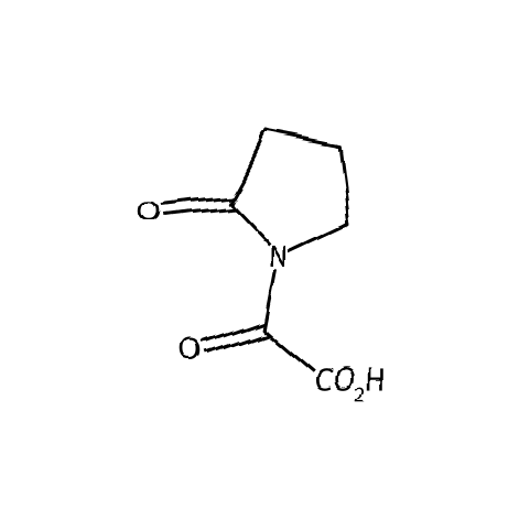 O=C(O)C(=O)N1CCCC1=O